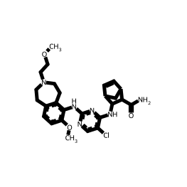 COCCN1CCc2ccc(OC)c(Nc3ncc(Cl)c(NC4C5C=CC(C5)C4C(N)=O)n3)c2CC1